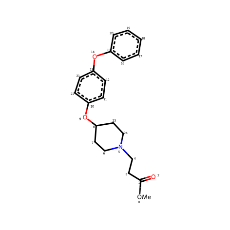 COC(=O)CCN1CCC(Oc2ccc(Oc3ccccc3)cc2)CC1